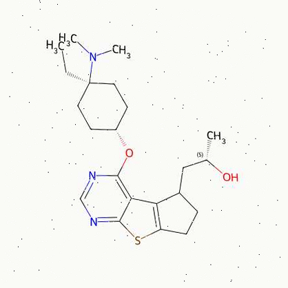 CC[C@]1(N(C)C)CC[C@H](Oc2ncnc3sc4c(c23)C(C[C@H](C)O)CC4)CC1